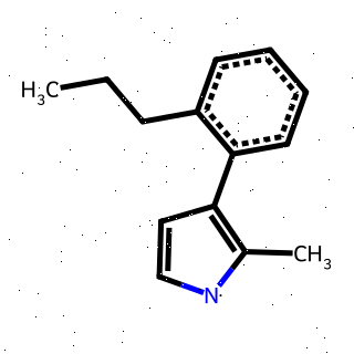 CCCc1ccccc1C1=C(C)[N]C=C1